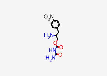 NC(=O)NC(=O)OCC(N)Cc1ccc([N+](=O)[O-])cc1